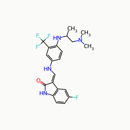 CC(CN(C)C)Nc1ccc(NC=C2C(=O)Nc3ccc(F)cc32)cc1C(F)(F)F